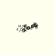 Cn1cnc2ccc(Oc3ccc(N(C(N)=O)c4cc(C(F)(F)F)ncn4)cc3)cc2c1=O